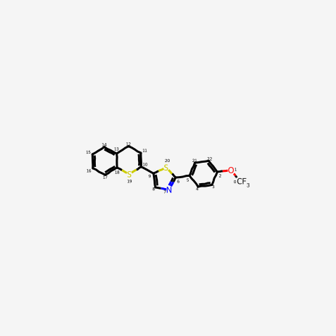 FC(F)(F)Oc1ccc(-c2ncc(C3=CCc4ccccc4S3)s2)cc1